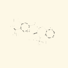 Cc1cc(CN(Cc2ccccn2)C(=O)OC(C)(C)C)ncc1C(=O)O